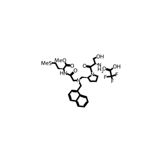 COC(=O)[C@H](CCSC)NC(=O)CN(Cc1cccc2ccccc12)C[C@@H]1CCCN1C(=O)[C@@H](N)CO.O=C(O)C(F)(F)F